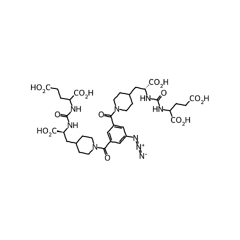 [N-]=[N+]=Nc1cc(C(=O)N2CCC(C[C@H](NC(=O)NC(CCC(=O)O)C(=O)O)C(=O)O)CC2)cc(C(=O)N2CCC(C[C@@H](NC(=O)NC(CCC(=O)O)C(=O)O)C(=O)O)CC2)c1